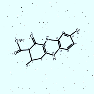 COC(=O)C1C(=O)C2=C(CC1C)Nc1ccc(Br)cc1S2